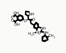 COc1cc(CC(=O)[C@@H](Oc2ccc(C(=O)O)c(C(=O)O)c2)C2CCCN2)ccc1NC(=O)Nc1ccccc1C